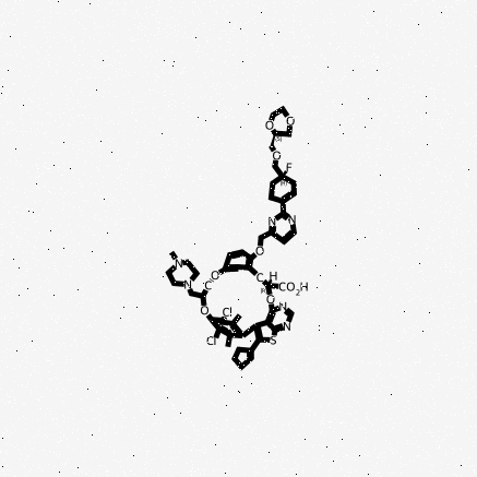 Cc1c(Cl)c2c(Cl)c(C)c1-c1c(C3=CCCC3)sc3ncnc(c13)O[C@@H](C(=O)O)Cc1cc(ccc1OCc1ccnc(C3=CC[C@@](F)(COC[C@@H]4COCCO4)CC3)n1)OCC(CN1CCN(C)CC1)O2